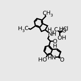 CC(=O)O.CCc1ccc(CC)c2c1CC(NCC(O)c1ccc(O)c3[nH]c(=O)ccc13)C2.Cl